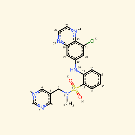 CN(Cc1cncnc1)S(=O)(=O)c1ccccc1Nc1cc(Cl)c2nccnc2c1